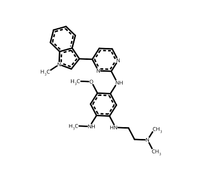 CNc1cc(OC)c(Nc2nccc(-c3cn(C)c4ccccc34)n2)cc1NCCN(C)C